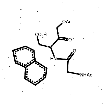 CC(=O)NCC(=O)NC(CC(=O)O)C(=O)COC(C)=O.c1ccc2ccccc2c1